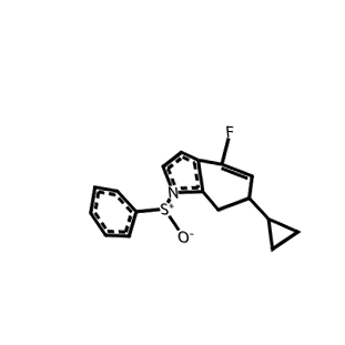 [O-][S+](c1ccccc1)n1ccc2c1CC(C1CC1)C=C2F